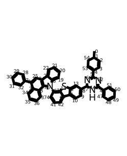 CC1C=CC(C2=NC(c3ccc4c(c3)sc3c(-n5c6ccccc6c6cc(-c7ccccc7)c7ccccc7c65)cccc34)NC(c3ccccc3)=N2)=CC1